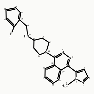 Cn1nccc1-c1nnc(N2CCC(NCc3ccccc3F)CC2)c2ccccc12